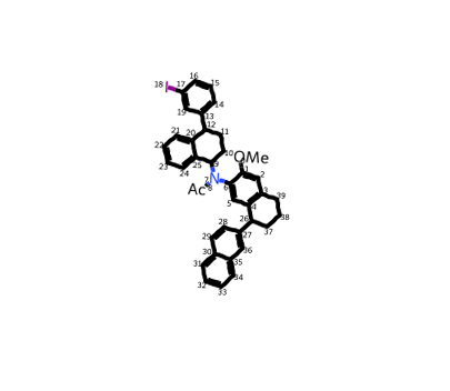 COc1cc2c(cc1N(C(C)=O)C1CCC(c3cccc(I)c3)c3ccccc31)C(c1ccc3ccccc3c1)CCC2